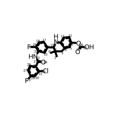 CC1(C)Cc2cc(OC(=O)O)ccc2NC1c1ccc(F)c(NC(=O)c2ccc(F)cc2Cl)c1